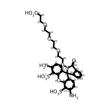 Nc1ccc2c(c1S(=O)(=O)O)Oc1c(ccc(N)c1S(=O)(=O)O)C21c2ccccc2C(=O)N1OCCOCCOCCOCCC(=O)O